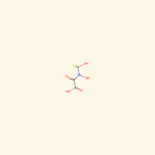 O=C(O)C(=O)N(O)C(O)=S